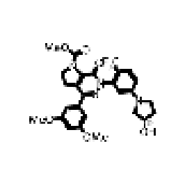 COC(=O)N1CCc2c(-c3cc(OC)cc(OC)c3)nn(-c3cc(N4CC[C@H](O)C4)ccc3C(F)(F)F)c(=O)c21